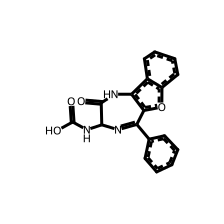 O=C(O)NC1N=C(c2ccccc2)c2oc3ccccc3c2NC1=O